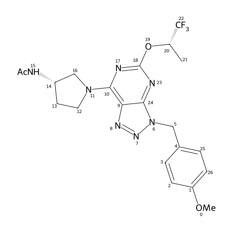 COc1ccc(Cn2nnc3c(N4CC[C@H](NC(C)=O)C4)nc(O[C@@H](C)C(F)(F)F)nc32)cc1